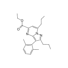 CCCc1nn2c(CCC)cc(C(=O)OCC)nc2c1-c1c(C)cccc1C